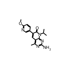 COc1ccc(-c2cc3c(C)nc(N)nc3n(C(C)C)c2=O)cn1